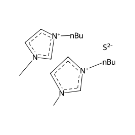 CCCC[n+]1ccn(C)c1.CCCC[n+]1ccn(C)c1.[S-2]